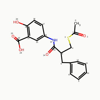 CC(=O)SCC(Cc1ccccc1)C(=O)Nc1ccc(O)c(C(=O)O)c1